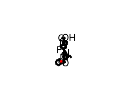 CCc1cc(C(=O)N2CCCCC[C@H]2C)nc2cc(-c3cc4ccc(C(=O)O)nc4cc3F)nn12